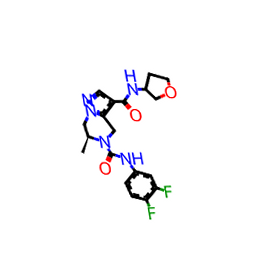 C[C@H]1Cn2ncc(C(=O)NC3CCOC3)c2CN1C(=O)Nc1ccc(F)c(F)c1